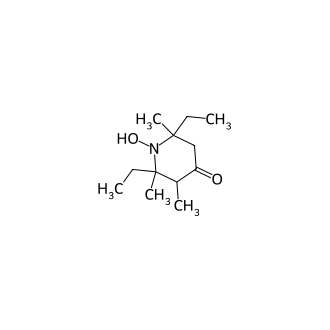 CCC1(C)CC(=O)C(C)C(C)(CC)N1O